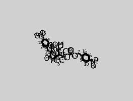 CC(C)(OC(=O)OCc1ccc([N+](=O)[O-])cc1)[C@@H]1C(=O)N2[C@@H]1CC(=O)[C@]2(Cc1ccc([N+](=O)[O-])cc1)C(=O)O